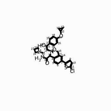 NC(=O)C1c2ccc(-c3ccc(Cl)s3)cc2CON1[C@H](CN1CCC1)[C@H](O)c1ccc(OC2CC2)cc1